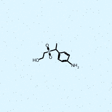 CC(c1ccc(N)cc1)S(=O)(=O)CCO